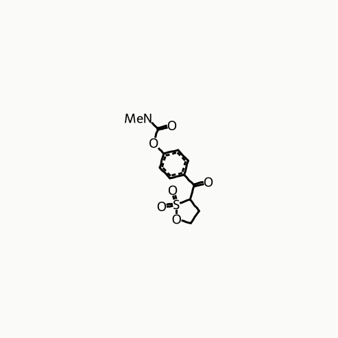 CNC(=O)Oc1ccc(C(=O)C2CCOS2(=O)=O)cc1